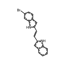 Brc1ccc2cc(C=Cc3cc4ccccc4[nH]3)[nH]c2c1